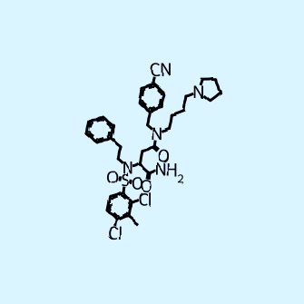 Cc1c(Cl)ccc(S(=O)(=O)N(CCc2ccccc2)C(CC(=O)N(CCCCN2CCCC2)Cc2ccc(C#N)cc2)C(N)=O)c1Cl